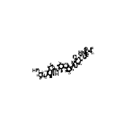 Cc1c(Nc2nccc3cc(CN4CC[C@@H](O)C4)cnc23)cccc1-c1cccc(-c2nc3c(=O)n(CC(=O)NS(=O)(=O)C4CC4)ccc3o2)c1C